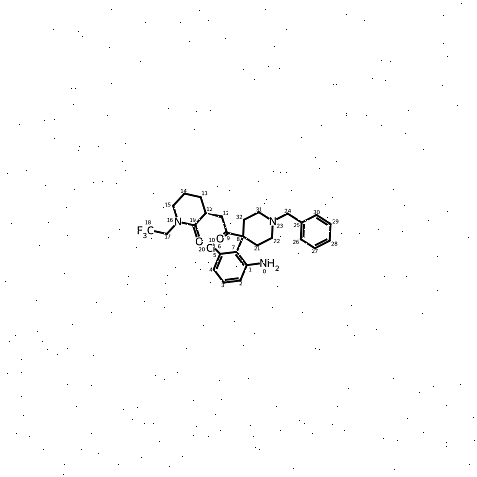 Nc1cccc(Cl)c1C1(C(=O)C[C@@H]2CCCN(CC(F)(F)F)C2=O)CCN(Cc2ccccc2)CC1